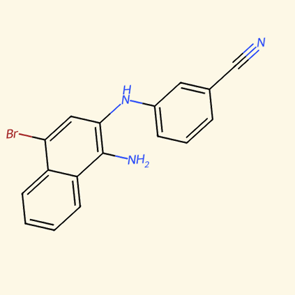 N#Cc1cccc(Nc2cc(Br)c3ccccc3c2N)c1